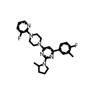 Cc1cc(-c2cc(N3CCN(c4ncccc4F)CC3)nc(N3CCCC3C)n2)ccc1F